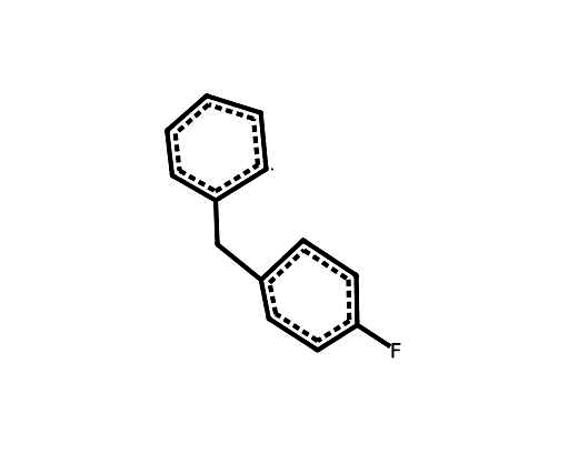 Fc1ccc(Cc2[c]cccc2)cc1